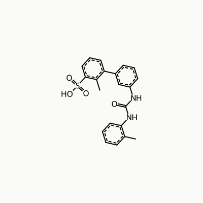 Cc1ccccc1NC(=O)Nc1cccc(-c2cccc(S(=O)(=O)O)c2C)c1